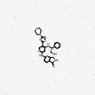 O=C1NCc2nc(Nc3cc(N[C@H](CO)c4ccccc4)c(-c4nc(N5CCOCC5)no4)cn3)ccc21